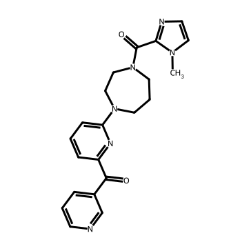 Cn1ccnc1C(=O)N1CCCN(c2cccc(C(=O)c3cccnc3)n2)CC1